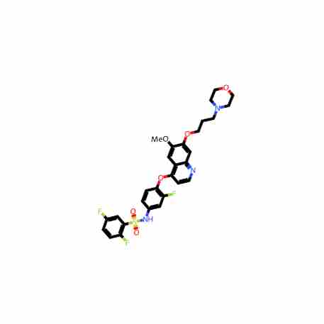 COc1cc2c(Oc3ccc(NS(=O)(=O)c4cc(F)ccc4F)cc3F)ccnc2cc1OCCCN1CCOCC1